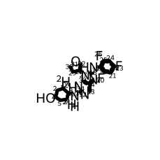 [2H]C1CC(O)CC([2H])C1([2H])Nc1ncc2nc(Nc3c(F)cc(F)cc3F)n(C3CCOC3)c2n1